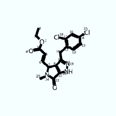 CCOC(=O)C=CC1c2c(Cc3ccc(Cl)cc3Cl)n[nH]c2C(=O)N1C